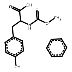 COC(=O)NC(Cc1ccc(O)cc1)C(=O)O.c1ccccc1